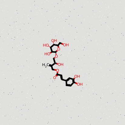 C=C(COC(=O)/C=C/c1ccc(O)c(O)c1)C(O)CO[C@@H]1OC(CO)[C@@H](O)[C@@H](O)C1O